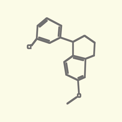 COc1ccc2c(c1)CCCC2c1cccc(Cl)c1